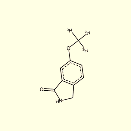 [2H]C([2H])([2H])Oc1ccc2c(c1)C(=O)NC2